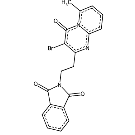 Cc1cccc2nc(CCN3C(=O)c4ccccc4C3=O)c(Br)c(=O)n12